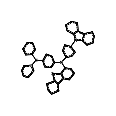 c1ccc(N(c2ccccc2)c2ccc(N(c3ccc(-n4c5ccccc5c5ccccc54)cc3)c3cccc4c3sc3ccccc34)cc2)cc1